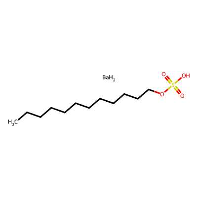 CCCCCCCCCCCCOS(=O)(=O)O.[BaH2]